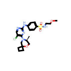 COCCNS(=O)(=O)c1ccc(Nc2ncc(Cl)c(N3CC4(CCC4)OC[C@@H]3C)n2)cc1